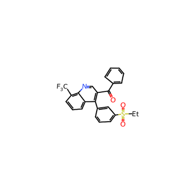 CCS(=O)(=O)c1cccc(-c2c(C(=O)c3ccccc3)cnc3c(C(F)(F)F)cccc23)c1